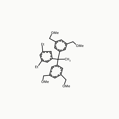 CCc1cc(CC)cc(C(C)(c2cc(COC)cc(COC)c2)c2cc(COC)cc(COC)c2)c1